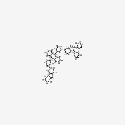 c1ccc(-c2oc3cc(-c4cccc(-c5c6ccccc6c(-c6cccc(-c7ccc8oc9ccccc9c8c7)c6)c6ccccc56)c4)ccc3c2-c2ccccc2)cc1